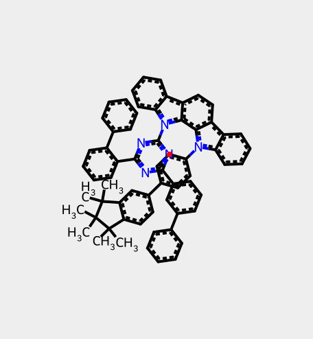 CC1(C)c2ccc(-c3ccc(-n4c5ccccc5c5ccc6c7ccccc7n(-c7nc(-c8cccc(-c9ccccc9)c8)nc(-c8ccccc8-c8ccccc8)n7)c6c54)cc3)cc2C(C)(C)C1(C)C